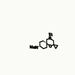 CCN1CC2(CC2)O[C@]2(CC[C@@H](NC)CC2)C1